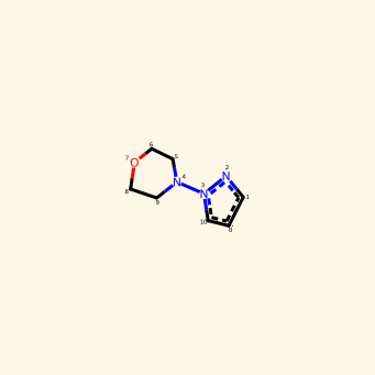 [c]1cnn(N2CCOCC2)c1